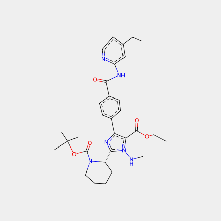 CCOC(=O)c1c(-c2ccc(C(=O)Nc3cc(CC)ccn3)cc2)nc([C@@H]2CCCCN2C(=O)OC(C)(C)C)n1NC